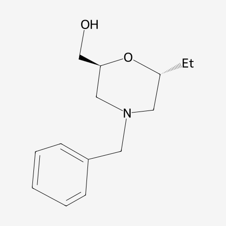 CC[C@@H]1CN(Cc2ccccc2)C[C@@H](CO)O1